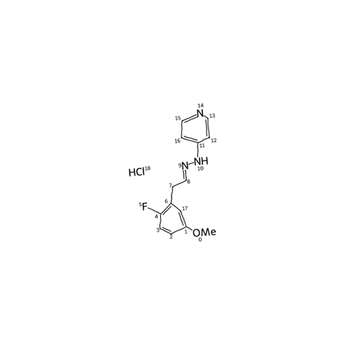 COc1ccc(F)c(CC=NNc2ccncc2)c1.Cl